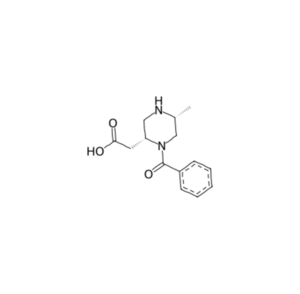 C[C@@H]1CN(C(=O)c2ccccc2)[C@H](CC(=O)O)CN1